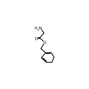 NCC(=O)OCC1=CCCC=C1